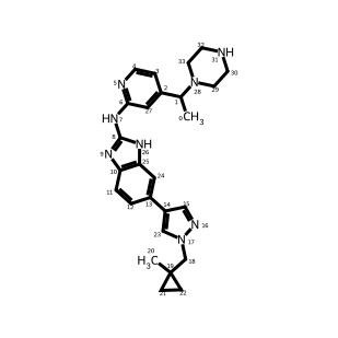 CC(c1ccnc(Nc2nc3ccc(-c4cnn(CC5(C)CC5)c4)cc3[nH]2)c1)N1CCNCC1